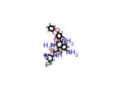 Cc1cc(Oc2ccccc2)ccc1C1(N)C(=O)C(N)c2c(C(=O)NC3CN(C)CC(F)(F)C3)sc3c(N)ccc1c23